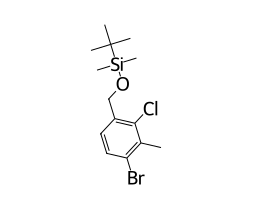 Cc1c(Br)ccc(CO[Si](C)(C)C(C)(C)C)c1Cl